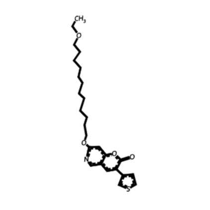 CCOCCCCCCCCCCCCOc1cc2oc(=O)c(-c3ccsc3)cc2cn1